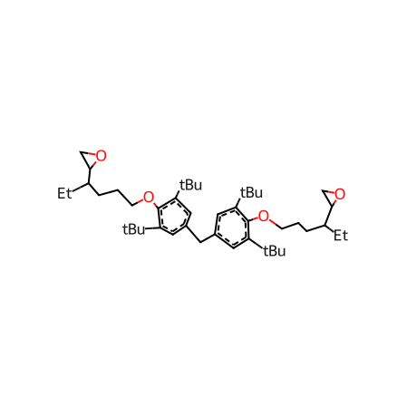 CCC(CCCOc1c(C(C)(C)C)cc(Cc2cc(C(C)(C)C)c(OCCCC(CC)C3CO3)c(C(C)(C)C)c2)cc1C(C)(C)C)C1CO1